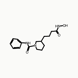 O=C(CCCC1CCCN(C(=O)Nc2ccccc2)C1)NO